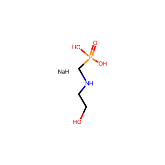 O=P(O)(O)CNCCO.[NaH]